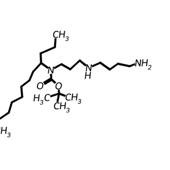 CCCCCCCCC(CCC)N(CCCNCCCCN)C(=O)OC(C)(C)C